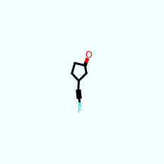 O=C1CCC(C#CF)C1